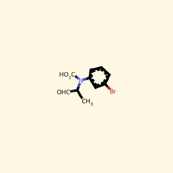 CC(C=O)N(C(=O)O)c1cccc(Br)c1